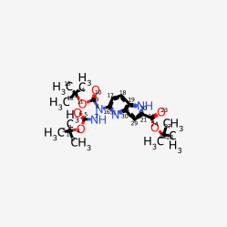 CC(C)(C)OC(=O)NN(C(=O)OC(C)(C)C)c1ccc2[nH]c(C(=O)OC(C)(C)C)cc2n1